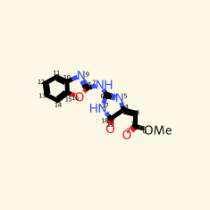 COC(=O)/C=C1/N=C(Nc2nc3ccccc3o2)NC1=O